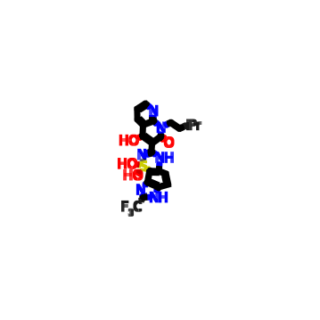 CC(C)CCn1c(=O)c(C2=NS(O)(O)c3c(ccc4[nH]c(C(F)(F)F)nc34)N2)c(O)c2cccnc21